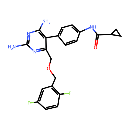 Nc1nc(N)c(-c2ccc(NC(=O)C3CC3)cc2)c(COCc2cc(F)ccc2F)n1